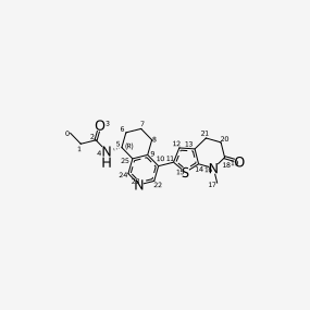 CCC(=O)N[C@@H]1CCCc2c(-c3cc4c(s3)N(C)C(=O)CC4)cncc21